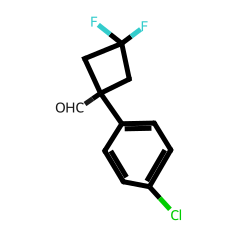 O=CC1(c2ccc(Cl)cc2)CC(F)(F)C1